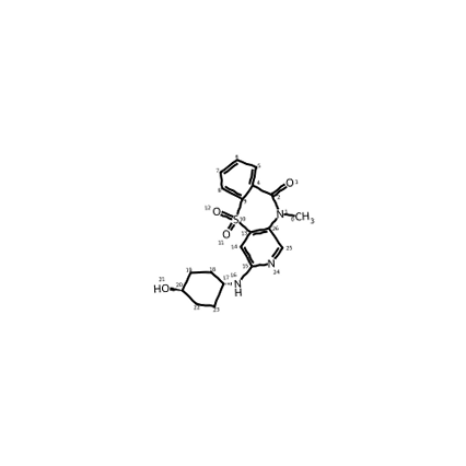 CN1C(=O)c2ccccc2S(=O)(=O)c2cc(N[C@H]3CC[C@H](O)CC3)ncc21